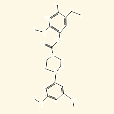 C[CH]c1cc(NC(=O)N2CCN(c3cc(OC)cc(OC)c3)CC2)c(OC)nc1C